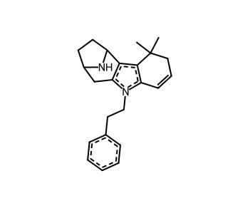 CC1(C)CC=Cc2c1c1c(n2CCc2ccccc2)CC2CCC1N2